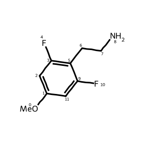 COc1cc(F)c(CCN)c(F)c1